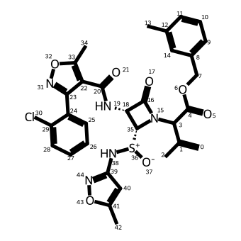 C=C(C)C(C(=O)OCc1cccc(C)c1)N1C(=O)[C@@H](NC(=O)c2c(-c3ccccc3Cl)noc2C)[C@H]1[S+]([O-])Nc1cc(C)on1